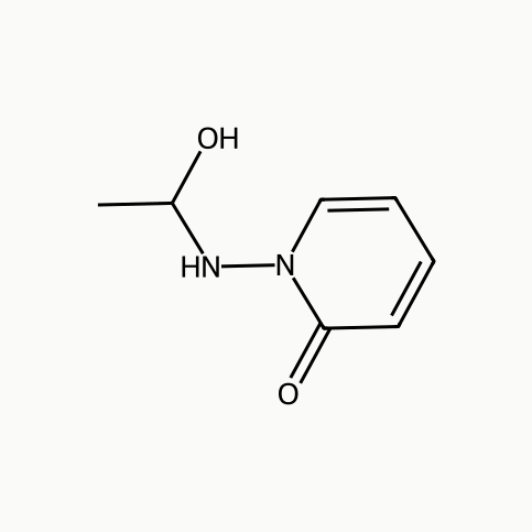 CC(O)Nn1ccccc1=O